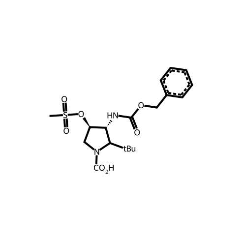 CC(C)(C)C1[C@@H](NC(=O)OCc2ccccc2)[C@H](OS(C)(=O)=O)CN1C(=O)O